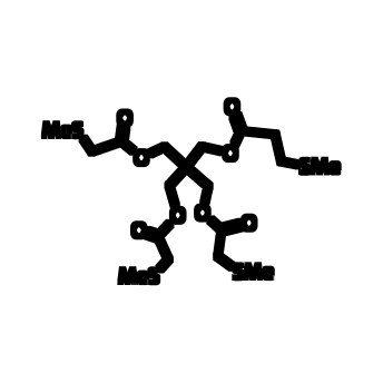 CSCCC(=O)OCC(COC(=O)CSC)(COC(=O)CSC)COC(=O)CSC